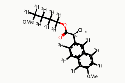 [2H]c1c([C@H](C)C(=O)OC([2H])([2H])C([2H])([2H])C([2H])([2H])C([2H])([2H])OC)c([2H])c2c([2H])c([2H])c(OC)c([2H])c2c1[2H]